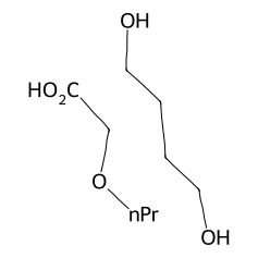 CCCOCC(=O)O.OCCCCO